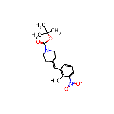 Cc1c(C=C2CCN(C(=O)OC(C)(C)C)CC2)cccc1[N+](=O)[O-]